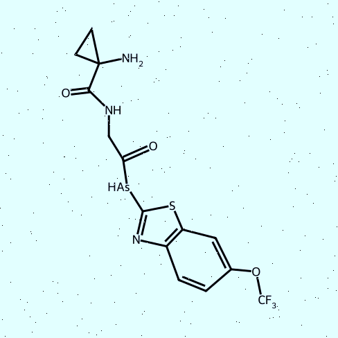 NC1(C(=O)NCC(=O)[AsH]c2nc3ccc(OC(F)(F)F)cc3s2)CC1